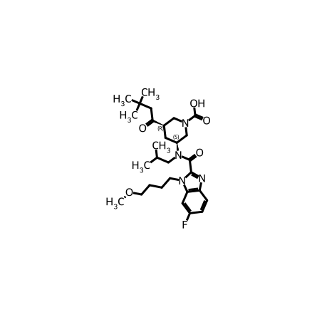 COCCCCn1c(C(=O)N(CC(C)C)[C@H]2C[C@@H](C(=O)CC(C)(C)C)CN(C(=O)O)C2)nc2ccc(F)cc21